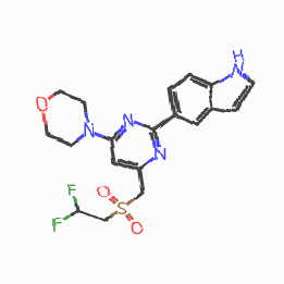 O=S(=O)(Cc1cc(N2CCOCC2)nc(-c2ccc3[nH]ccc3c2)n1)CC(F)F